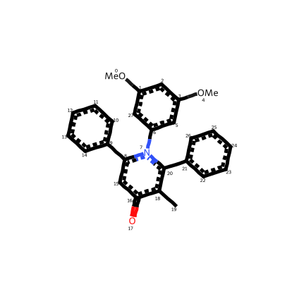 COc1cc(OC)cc(-n2c(-c3ccccc3)cc(=O)c(C)c2-c2ccccc2)c1